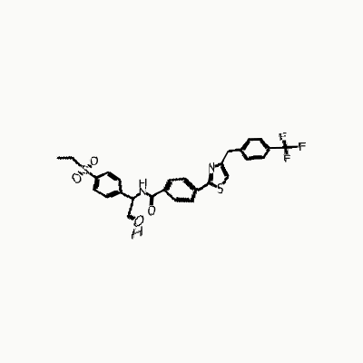 CCS(=O)(=O)c1ccc(C(CO)NC(=O)c2ccc(-c3nc(Cc4ccc(C(F)(F)F)cc4)cs3)cc2)cc1